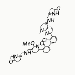 COc1nc(-c2cccc(-c3cccc(-c4ccc5c(n4)N(C)CC[C@@H]5NC[C@H]4CCC(=O)N4)c3Cl)c2Cl)ccc1CNC[C@@H]1CCC(=O)N1